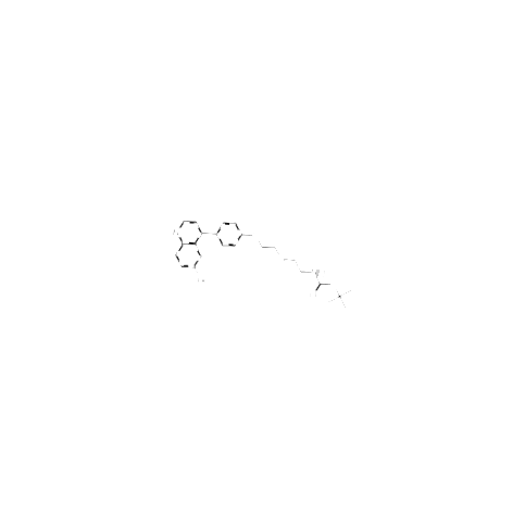 CC(C)(C)OC(=O)NCCOCCOc1ccc(-c2ccnc3ccc(Br)cc23)cc1